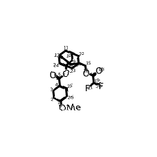 COC1CCC(C(=O)OC23CC4CC(CC(COC(=O)C(F)F)(C4)C2)C3)CC1